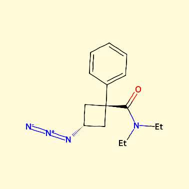 CCN(CC)C(=O)[C@]1(c2ccccc2)C[C@@H](N=[N+]=[N-])C1